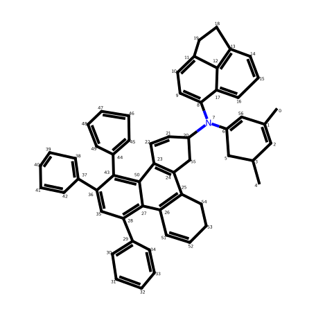 CC1=CC(C)CC(N(c2ccc3c4c(cccc24)CC3)C2C=Cc3c(c4c(c5c(-c6ccccc6)cc(-c6ccccc6)c(-c6ccccc6)c35)C=CCC4)C2)=C1